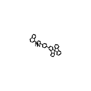 c1ccc2c(c1)-c1ccccc1C21c2ccccc2-c2cc(-c3ccc(-c4ccc(-c5cccc6ccccc56)nn4)cc3)ccc21